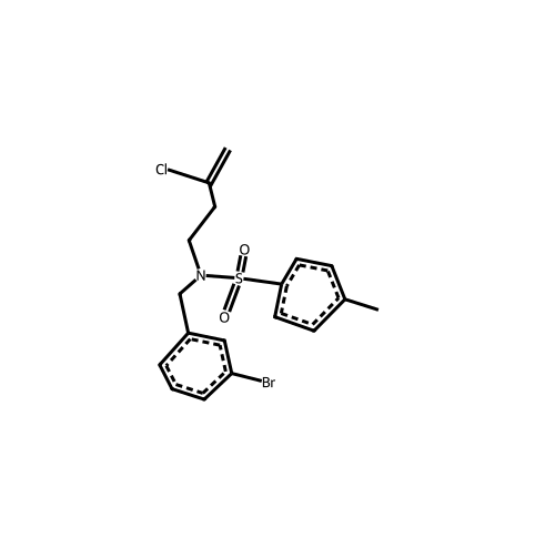 C=C(Cl)CCN(Cc1cccc(Br)c1)S(=O)(=O)c1ccc(C)cc1